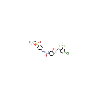 CCS(=O)(=O)c1ccc(CNC(=O)c2ccc3cc(Cc4ccc(Cl)cc4C(F)(F)F)oc3c2)cc1